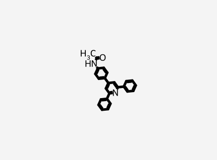 CC(=O)Nc1ccc(-c2cc(-c3ccccc3)nc(-c3ccccc3)c2)cc1